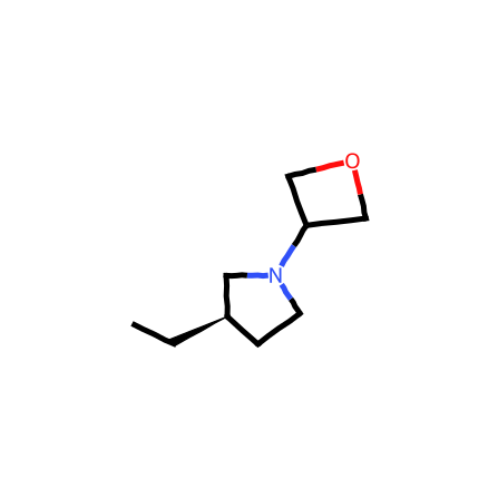 CC[C@@H]1CCN(C2COC2)C1